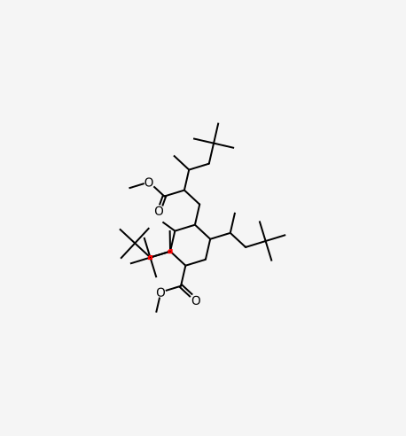 COC(=O)C(CC(C(C)CC(C)(C)C)C(CC(C(=O)OC)C(C)CC(C)(C)C)C(C)CC(C)(C)C)C(C)CC(C)(C)C